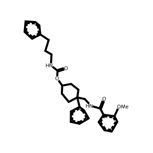 COc1ccccc1C(=O)NCC1(c2ccccc2)CCC(OC(=O)NCCCc2ccccc2)CC1